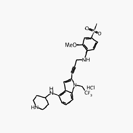 COc1cc(S(C)(=O)=O)ccc1NCC#Cc1cc2c(NC3CCNCC3)cccc2n1CC(F)(F)F.Cl